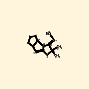 CC1(C)SC2=NC3CCCC3N2/C1=N\O